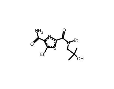 CCc1sc(C(=O)N(CC)CC(C)(C)O)nc1C(N)=O